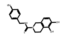 CC(C)(C)c1ccc(CNC(=S)N2CCc3c(ccc(O)c3O)C2)cc1